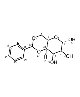 OC1C(O)[C@@H](O)OC2COC(c3ccccc3)O[C@@H]21